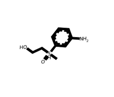 C[SH](=O)(CCO)c1cccc(N)c1